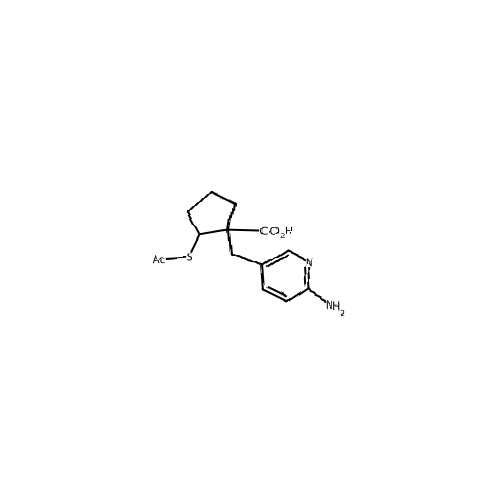 CC(=O)SC1CCCC1(Cc1ccc(N)nc1)C(=O)O